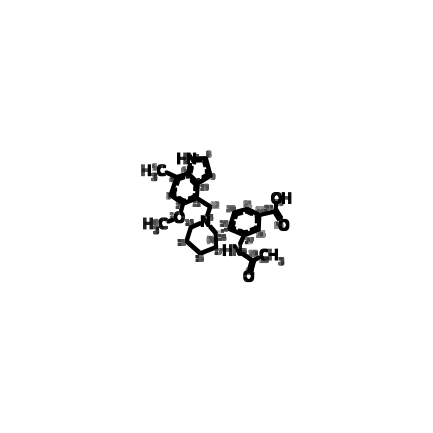 COc1cc(C)c2[nH]ccc2c1CN1CCCC[C@H]1c1ccc(C(=O)O)cc1NC(C)=O